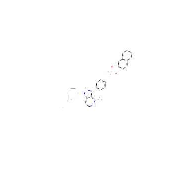 Nc1nccc2c1c(-c1ccc(CNS(=O)(=O)c3ccc4ccccc4c3)cc1)nn2[C@@H]1CCCN(C(=O)O)C1